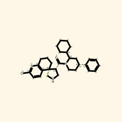 O=C([C@@H]1CNC[C@]12CCCc1nc(Cl)ccc12)N1CC[C@@H](c2ccccc2)CC1C1CCCCC1